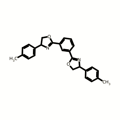 Cc1ccc(C2COC(c3cccc(C4=NC(c5ccc(C)cc5)CO4)c3)=N2)cc1